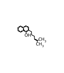 CC(C)=CCCCc1ccc2ccccc2c1O